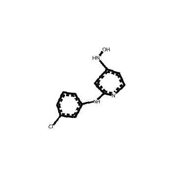 ONc1ccnc(Nc2cccc(Cl)c2)c1